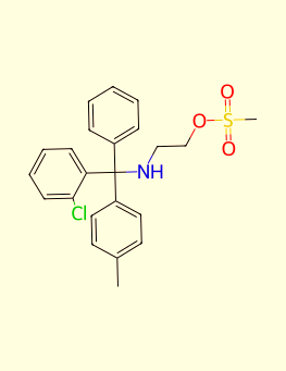 Cc1ccc(C(NCCOS(C)(=O)=O)(c2ccccc2)c2ccccc2Cl)cc1